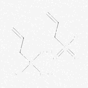 C=CCS(=O)(=O)[O-].C=CC[N+](CCCCCCCC)(CCCCCCCC)CCCCCCCC